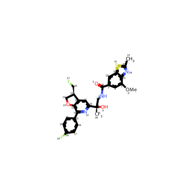 COc1cc(C(=O)NC[C@](O)(c2cc3c(c(-c4ccc(F)cc4)n2)OC[C@H]3CF)C(F)(F)F)cc2sc(C)nc12